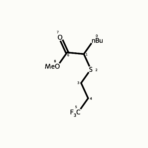 CCCCC(SCCC(F)(F)F)C(=O)OC